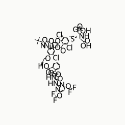 C#CCOc1cc(-n2nc(C(C)(C)C)oc2=O)c(Cl)cc1Cl.COc1c(Cl)ccc(Cl)c1C(=O)O.C[S+](C)C.O=C(Nc1nc(OC(F)F)cc(OC(F)F)n1)NS(=O)(=O)c1ccccc1C(=O)O.O=C(O)CNCP(=O)([O-])O